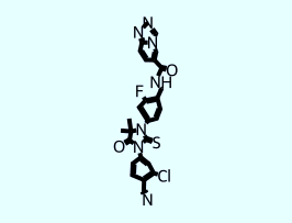 CC1(C)C(=O)N(c2ccc(C#N)c(Cl)c2)C(=S)N1c1ccc(CNC(=O)c2ccc3nncn3c2)c(F)c1